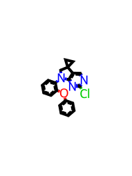 Clc1ncc2c(n1)N(c1ccccc1Oc1ccccc1)CC21CC1